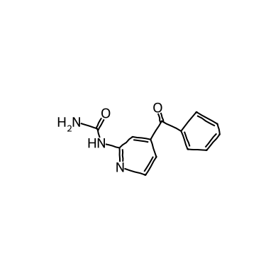 NC(=O)Nc1cc(C(=O)c2ccccc2)ccn1